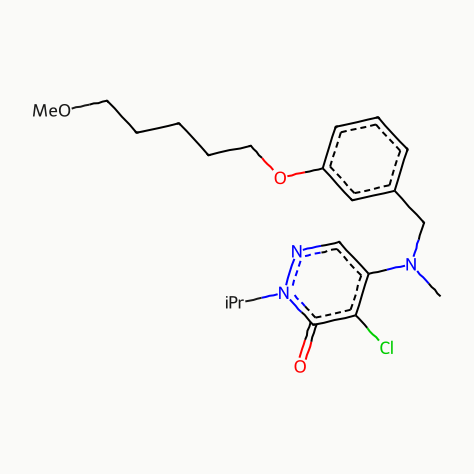 COCCCCCOc1cccc(CN(C)c2cnn(C(C)C)c(=O)c2Cl)c1